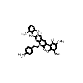 COc1cc(OC)c(Cl)c(-c2cc3cnc(Nc4c(C)cccc4N)nc3n(CCc3ccc(N)cc3)c2=O)c1Cl